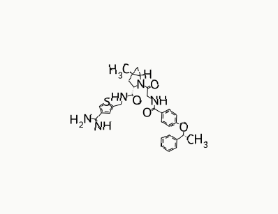 C[C@@H](Oc1ccc(C(=O)NCC(=O)N2[C@H]3C[C@@]3(C)C[C@H]2C(=O)NCc2cc(C(=N)N)cs2)cc1)c1ccccc1